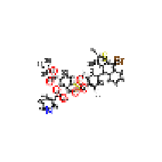 Cc1cc(-c2c3ccccc3c(Br)c3sc(C)c(C)c23)cc(C)c1OS(=O)(=O)c1ccc(C(=O)OC(C)(C)C)c(OC(=O)c2cccnc2)c1